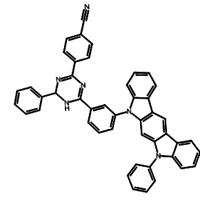 N#Cc1ccc(C2=NC(c3ccccc3)NC(c3cccc(-n4c5ccccc5c5cc6c7ccccc7n(-c7ccccc7)c6cc54)c3)=N2)cc1